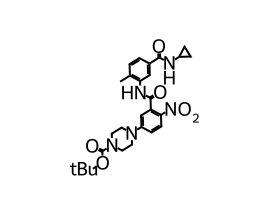 Cc1ccc(C(=O)NC2CC2)cc1NC(=O)c1cc(N2CCN(C(=O)OC(C)(C)C)CC2)ccc1[N+](=O)[O-]